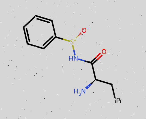 CC(C)C[C@@H](N)C(=O)N[S@@+]([O-])c1ccccc1